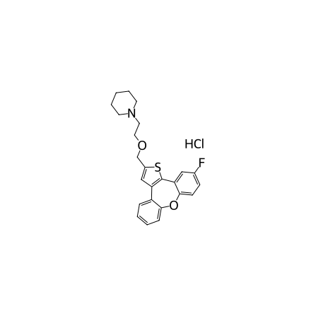 Cl.Fc1ccc2c(c1)-c1sc(COCCN3CCCCC3)cc1-c1ccccc1O2